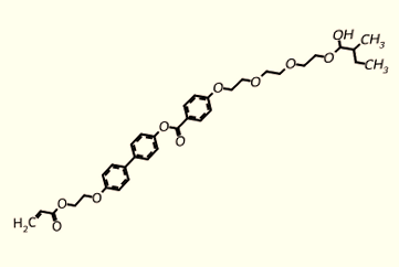 C=CC(=O)OCCOc1ccc(-c2ccc(OC(=O)c3ccc(OCCOCCOCCOC(O)C(C)CC)cc3)cc2)cc1